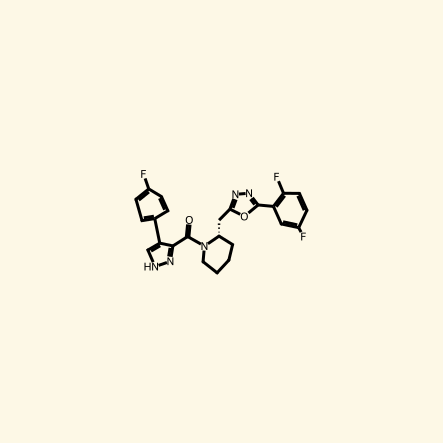 O=C(c1n[nH]cc1-c1ccc(F)cc1)N1CCCC[C@H]1Cc1nnc(-c2cc(F)ccc2F)o1